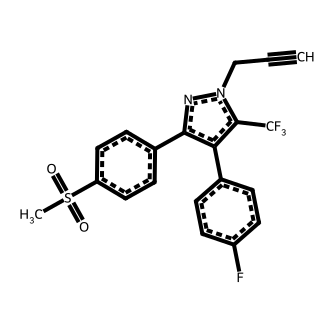 C#CCn1nc(-c2ccc(S(C)(=O)=O)cc2)c(-c2ccc(F)cc2)c1C(F)(F)F